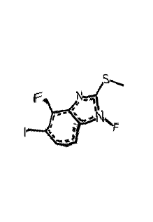 CSc1nc2c(F)c(I)ccc2n1F